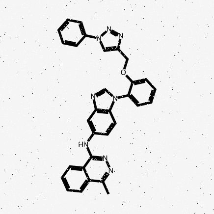 Cc1nnc(Nc2ccc3c(c2)ncn3-c2ccccc2OCc2cn(-c3ccccc3)nn2)c2ccccc12